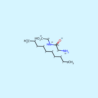 CCCCCCCCCC.NCC(=O)NCC(=O)O